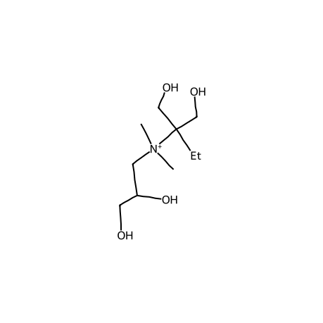 CCC(CO)(CO)[N+](C)(C)CC(O)CO